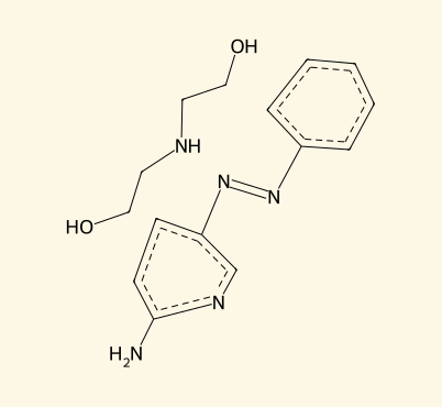 Nc1ccc(N=Nc2ccccc2)cn1.OCCNCCO